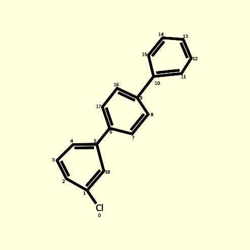 Clc1c[c]cc(-c2ccc(-c3ccccc3)cc2)c1